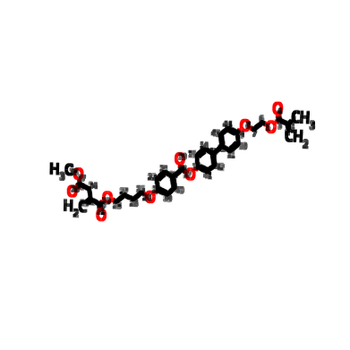 C=C(C)C(=O)OCCOc1ccc(-c2ccc(OC(=O)c3ccc(OCCCCOC(=O)C(=C)CC(=O)OC)cc3)cc2)cc1